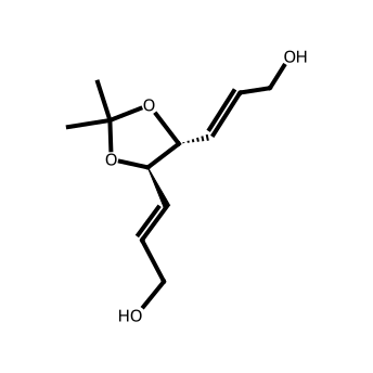 CC1(C)O[C@H](/C=C/CO)[C@@H](/C=C/CO)O1